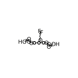 C=C(CO)C(=O)OCOc1ccc(-c2ccc(-c3ccc(OCOC(=O)C(=C)CO)cc3)c(OCCCCC=C(F)F)c2)cc1